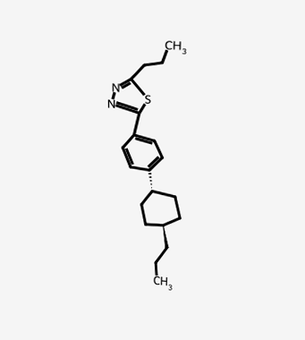 CCCc1nnc(-c2ccc([C@H]3CC[C@H](CCC)CC3)cc2)s1